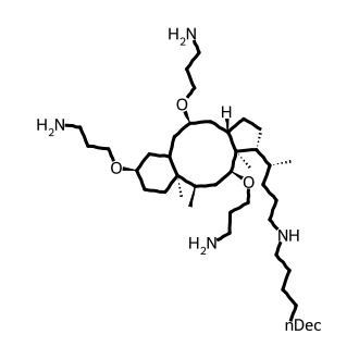 CCCCCCCCCCCCCCNCCC[C@@H](C)[C@H]1CC[C@H]2C[C@H](OCCCN)CC3C[C@H](OCCCN)CC[C@]3(C)[C@H](C)C[C@H](OCCCN)[C@@]21C